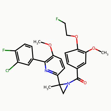 COc1cc(C(=O)N2CC2(C)c2ccc(OC)c(-c3ccc(F)c(Cl)c3)n2)ccc1OCCF